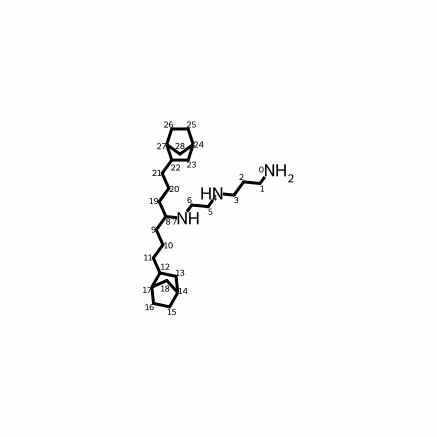 NCCCNCCNC(CCCC1CC2CCC1C2)CCCC1CC2CCC1C2